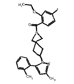 CCOc1cc(F)ccc1C(=O)N1CC2(CC(n3nc(C)cc3-c3ccccc3C)C2)C1